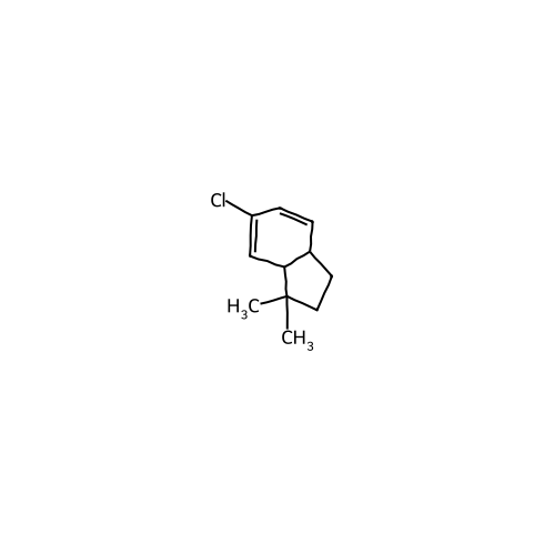 CC1(C)CCC2C=CC(Cl)=CC21